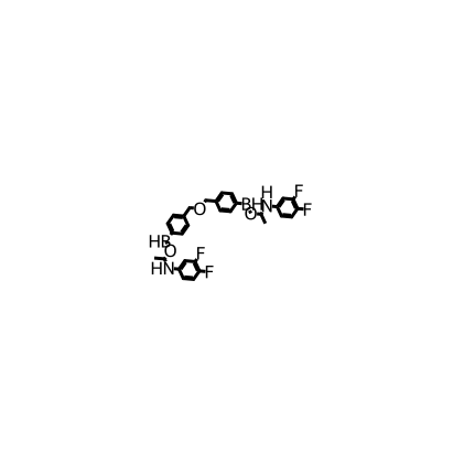 CC(Nc1ccc(F)c(F)c1)OBc1ccc(COCc2ccc(BOC(C)Nc3ccc(F)c(F)c3)cc2)cc1